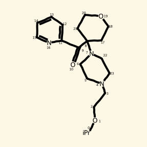 CC(C)OCCN1CCN(C2(C(=O)c3ccccn3)CCOCC2)CC1